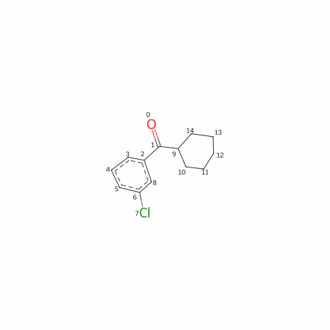 O=C(c1cccc(Cl)c1)C1CCCCC1